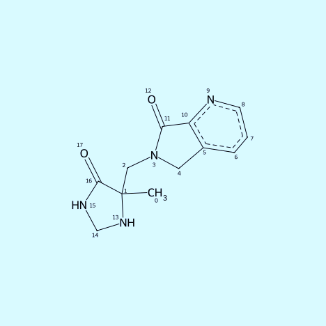 CC1(CN2Cc3cccnc3C2=O)NCNC1=O